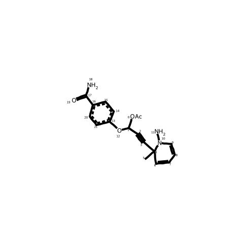 CC(=O)OC(C#CC1(C)C=CC=CN1N)Oc1ccc(C(N)=O)cc1